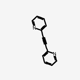 C(#Cc1ccccn1)c1ccccn1